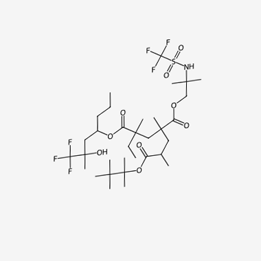 CCCC(CC(C)(O)C(F)(F)F)OC(=O)C(C)(CC)CC(C)(CC(C)C(=O)OC(C)(C)C(C)(C)C)C(=O)OCC(C)(C)NS(=O)(=O)C(F)(F)F